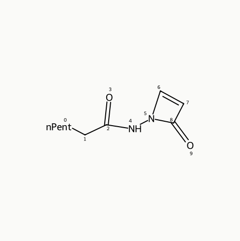 CCCCCCC(=O)NN1C=CC1=O